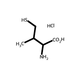 CC(CS)C(N)C(=O)O.Cl